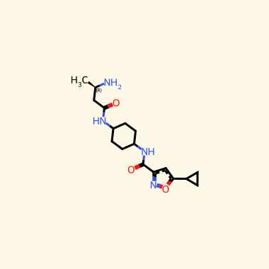 C[C@@H](N)CC(=O)NC1CCC(NC(=O)c2cc(C3CC3)on2)CC1